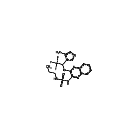 CCCNS(=O)(=O)Nc1nc2ccccc2nc1OC(c1cncn1C)C(F)(F)F